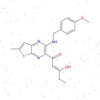 CCC(O)=CC(=O)c1nc2sc(C)cc2nc1NCc1ccc(OC)cc1